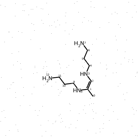 CC(=CNCCCN)NCCCN